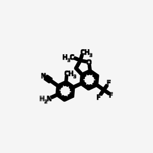 Cc1c(-c2cc(C(F)(F)F)cc3c2CC(C)(C)O3)ccc(N)c1C#N